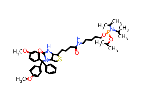 COc1ccc(C(c2ccccc2)(c2ccc(OC)cc2)N2C(=O)NC3C(CCCC(=O)NCCCCCOP(OC(C)C)N(C(C)C)C(C)C)SCC32)cc1